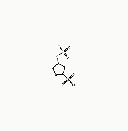 CCS(=O)(=O)OC1CON(S(=O)(=O)CC)C1